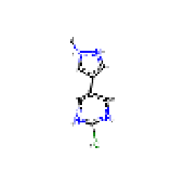 Cn1cc(-c2cnc(Cl)nc2)cn1